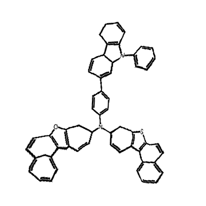 C1=CC2=C(CC1)C1C=CC(c3ccc(N(C4C=Cc5c(oc6ccc7ccccc7c56)C4)C4C=Cc5c(sc6ccc7ccccc7c56)C4)cc3)=CC1N2c1ccccc1